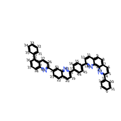 c1ccc(-c2ccc3ccc4ccc(-c5ccc(-c6ccc7ccc(-c8ccc9c(-c%10ccccc%10)cccc9n8)cc7n6)cc5)nc4c3n2)cc1